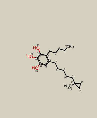 CC(C)(C)CCCCc1c(CCCCCC2(C)CC2)cc(O)c(O)c1O